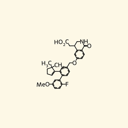 COc1ccc(F)c(-c2ccc(COc3ccc4c(c3)C(CC(=O)O)CNC4=O)cc2C2=CCCC2(C)C)c1